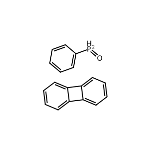 O=[PH2]c1ccccc1.c1ccc2c(c1)-c1ccccc1-2